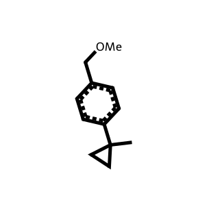 COCc1ccc(C2(C)CC2)cc1